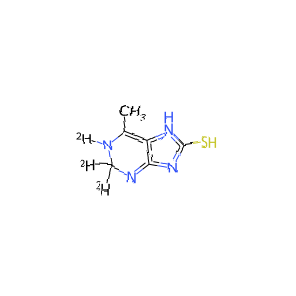 [2H]N1C(C)=c2[nH]c(S)nc2=NC1([2H])[2H]